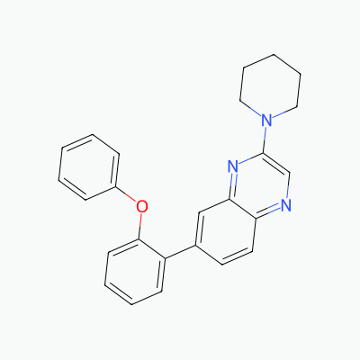 c1ccc(Oc2ccccc2-c2ccc3ncc(N4CCCCC4)nc3c2)cc1